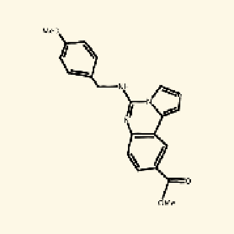 COC(=O)c1ccc2nc(NCc3ccc(OC)cc3)n3cncc3c2c1